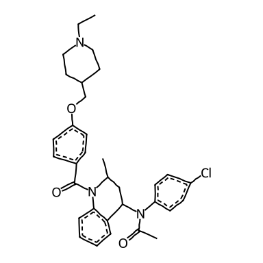 CCN1CCC(COc2ccc(C(=O)N3c4ccccc4C(N(C(C)=O)c4ccc(Cl)cc4)CC3C)cc2)CC1